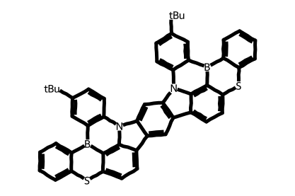 CC(C)(C)c1ccc2c(c1)B1c3ccccc3Sc3ccc4c5cc6c7ccc8c9c7n(c6cc5n-2c4c31)-c1ccc(C(C)(C)C)cc1B9c1ccccc1S8